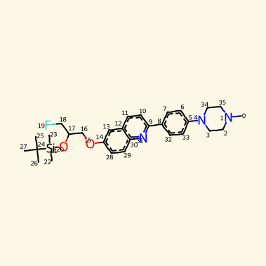 CN1CCN(c2ccc(-c3ccc4cc(OCC(CF)O[Si](C)(C)C(C)(C)C)ccc4n3)cc2)CC1